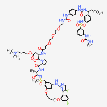 CCCNC(=O)Nc1cccc(S(=O)(=O)Nc2cccc(C(CC(=O)O)NC(=O)Nc3ccc(NC(=O)NCCOCCOCCOCCC(=O)NC(CC(=O)OCCCCN(C)C)C(=O)N4CCCC4C(=O)NC(C(=O)N=S(C)(=O)Cc4cc5cc(c4)OCCCCOc4cc(F)ccc4-c4nc(ncc4F)N5)C(C)C)cc3)c2)c1